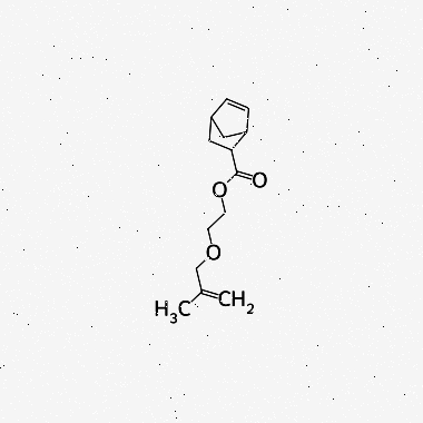 C=C(C)COCCOC(=O)C1CC2C=CC1C2